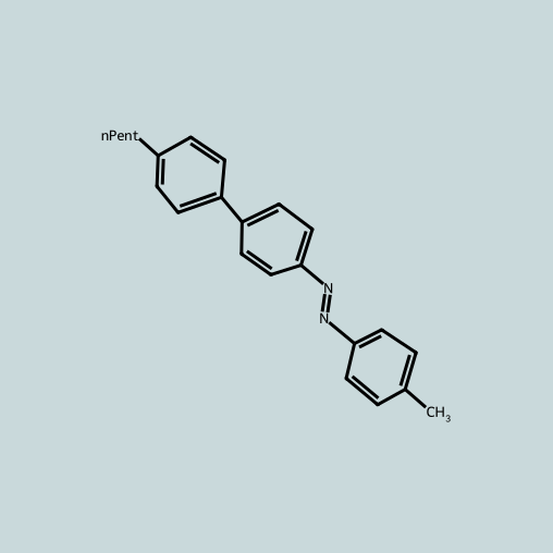 CCCCCc1ccc(-c2ccc(N=Nc3ccc(C)cc3)cc2)cc1